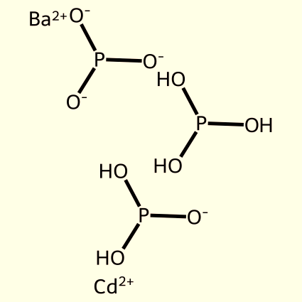 OP(O)O.[Ba+2].[Cd+2].[O-]P(O)O.[O-]P([O-])[O-]